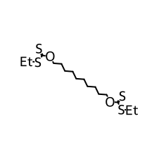 CCSC(=S)OCCCCCCCCCCOC(=S)SCC